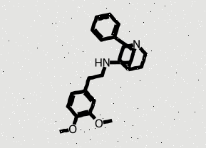 COc1ccc(CCNC2C3CCN(CC3)C2c2ccccc2)cc1OC